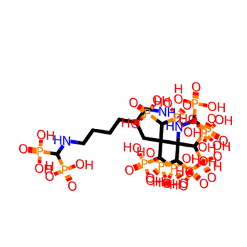 NCC(CCCCNC(P(=O)(O)O)P(=O)(O)O)CC(C(P(=O)(O)O)P(=O)(O)O)(C(P(=O)(O)O)P(=O)(O)O)C(NC(P(=O)(O)O)P(=O)(O)O)(C(P(=O)(O)O)P(=O)(O)O)C(P(=O)(O)O)P(=O)(O)O